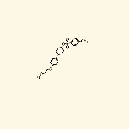 CCOCCOc1ccc([C@H]2CC[C@H](OS(=O)(=O)c3ccc(C)cc3)CC2)cc1